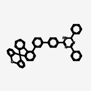 c1ccc(C2=NC(c3ccccc3)NC(c3ccc(-c4cccc(-c5cccc6c5-c5ccccc5C65c6ccccc6Oc6ccccc65)c4)cc3)=N2)cc1